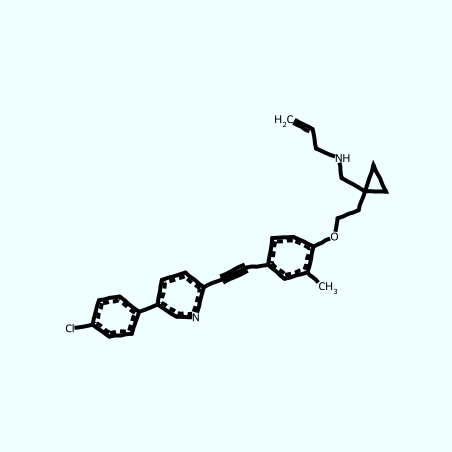 C=CCNCC1(CCOc2ccc(C#Cc3ccc(-c4ccc(Cl)cc4)cn3)cc2C)CC1